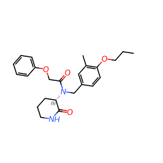 CCCOc1ccc(CN(C(=O)COc2ccccc2)[C@H]2CCCNC2=O)cc1C